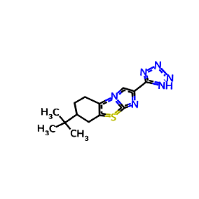 CC(C)(C)C1CCc2c(sc3nc(-c4nnn[nH]4)cn23)C1